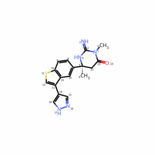 CN1C(=N)N[C@](C)(c2ccc3scc(-c4cn[nH]c4)c3c2)CC1=O